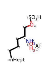 CCCCCCCCCCCCOS(=O)(=O)O.N.O.[Al]